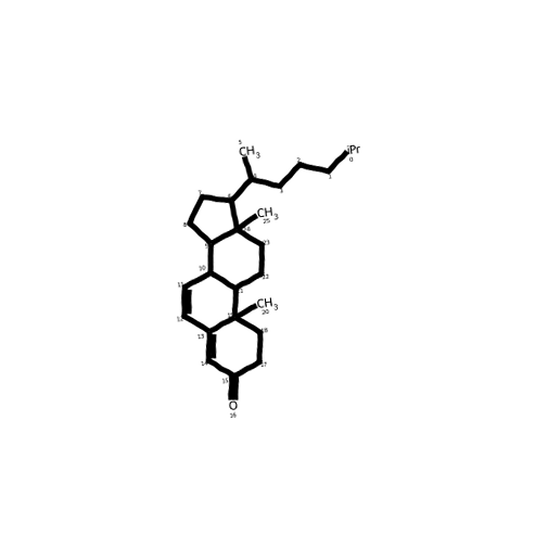 CC(C)CCCC(C)C1CCC2C3C=CC4=CC(=O)CCC4(C)C3CCC12C